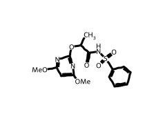 COc1cc(OC)nc(OC(C)C(=O)NS(=O)(=O)c2ccccc2)n1